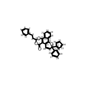 O=C1OC(CCc2ccccc2)Oc2c1c1c(c3ccccc23)OC(c2ccccc2)(c2ccccc2)C=C1